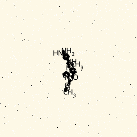 CCOOCCCN(C(=O)c1ccc2c(c1)nc(CNc1ccc(C(=N)N)cc1)n2C)c1ccccn1